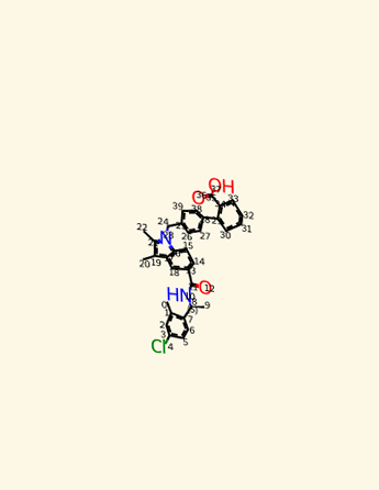 Cc1cc(Cl)ccc1[C@H](C)NC(=O)c1ccc2c(c1)c(C)c(C)n2Cc1ccc(-c2ccccc2C(=O)O)cc1